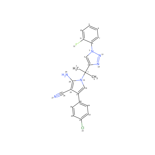 CC(C)(c1cn(-c2ccccc2F)nn1)n1cc(-c2ccc(Cl)cc2)c(C#N)c1N